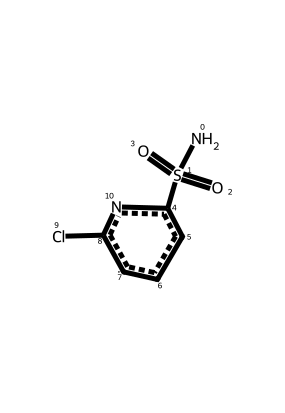 NS(=O)(=O)c1cc[c]c(Cl)n1